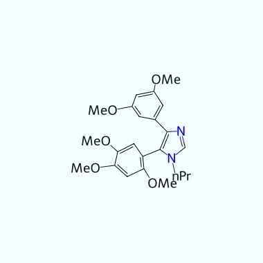 CCCn1cnc(-c2cc(OC)cc(OC)c2)c1-c1cc(OC)c(OC)cc1OC